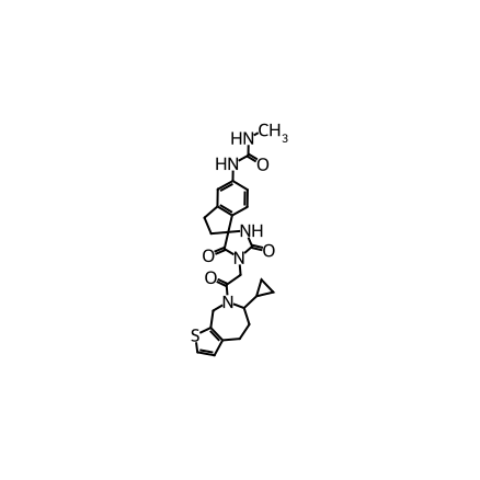 CNC(=O)Nc1ccc2c(c1)CCC21NC(=O)N(CC(=O)N2Cc3sccc3CCC2C2CC2)C1=O